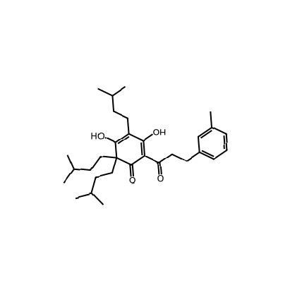 Cc1cccc(CCC(=O)C2=C(O)C(CCC(C)C)=C(O)C(CCC(C)C)(CCC(C)C)C2=O)c1